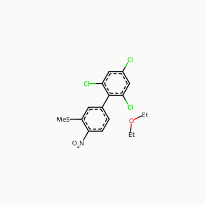 CCOCC.CSc1cc(-c2c(Cl)cc(Cl)cc2Cl)ccc1[N+](=O)[O-]